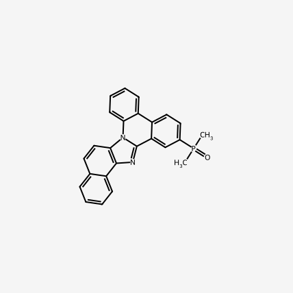 CP(C)(=O)c1ccc2c3ccccc3n3c4ccc5ccccc5c4nc3c2c1